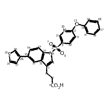 O=C(O)CCc1cn(S(=O)(=O)c2ccc(Oc3ccccc3)nc2)c2ccc(-c3ccsc3)cc12